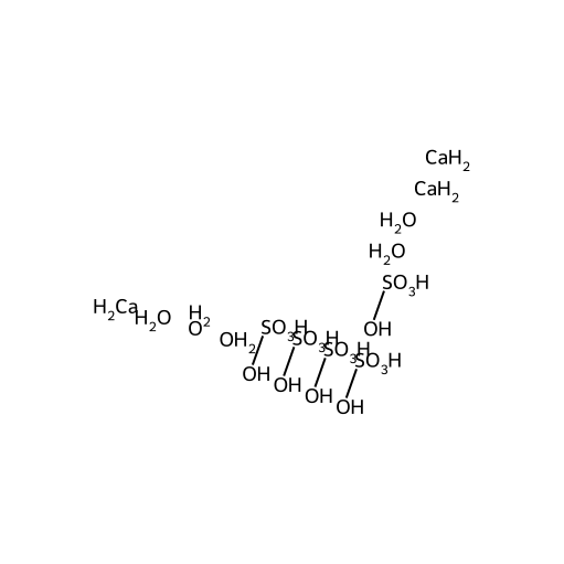 O.O.O.O.O.O=S(=O)(O)O.O=S(=O)(O)O.O=S(=O)(O)O.O=S(=O)(O)O.O=S(=O)(O)O.[CaH2].[CaH2].[CaH2]